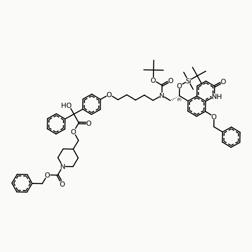 CC(C)(C)OC(=O)N(CCCCCOc1ccc(C(O)(C(=O)OCC2CCN(C(=O)OCc3ccccc3)CC2)c2ccccc2)cc1)C[C@H](O[Si](C)(C)C(C)(C)C)c1ccc(OCc2ccccc2)c2[nH]c(=O)ccc12